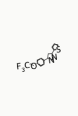 FC(F)(F)COc1ccc(C2CC(c3cccs3)N=N2)cc1